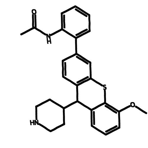 COc1cccc2c1Sc1cc(-c3ccccc3NC(C)=O)ccc1C2C1CCNCC1